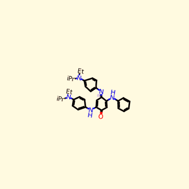 CCN(c1ccc(/N=C2\C=C(Nc3ccc(N(CC)C(C)C)cc3)C(=O)C=C2Nc2ccccc2)cc1)C(C)C